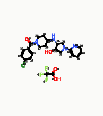 O=C(O)C(F)(F)F.O=C(c1ccc(Cl)cc1)N1CCC(N[C@@H]2CN(c3ccccn3)C[C@H]2O)CC1